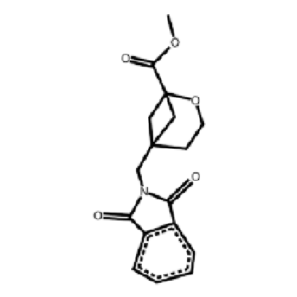 COC(=O)C12CC(CN3C(=O)c4ccccc4C3=O)(CCO1)C2